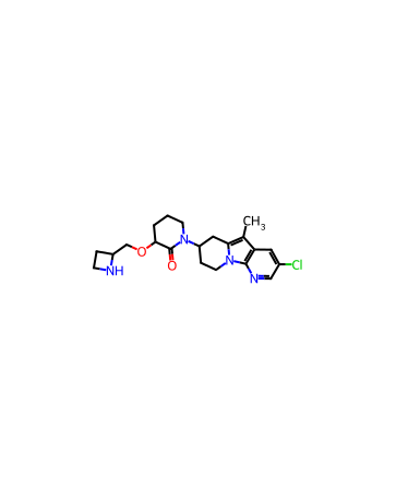 Cc1c2n(c3ncc(Cl)cc13)CCC(N1CCCC(OCC3CCN3)C1=O)C2